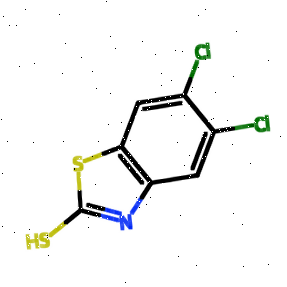 Sc1nc2cc(Cl)c(Cl)cc2s1